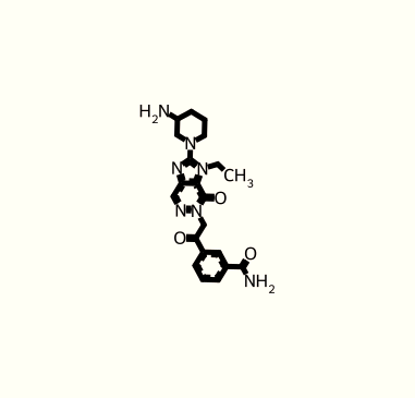 CCn1c(N2CCCC(N)C2)nc2cnn(CC(=O)c3cccc(C(N)=O)c3)c(=O)c21